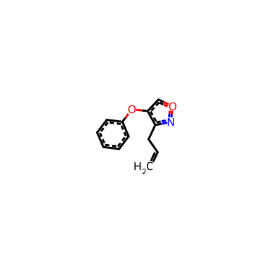 C=CCc1nocc1Oc1ccccc1